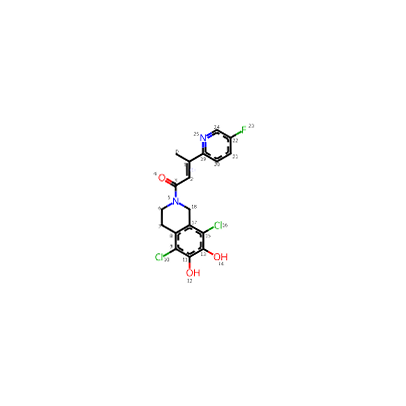 C/C(=C\C(=O)N1CCc2c(Cl)c(O)c(O)c(Cl)c2C1)c1ccc(F)cn1